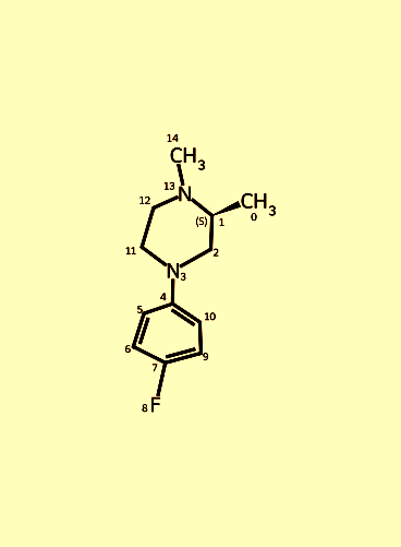 C[C@H]1CN(c2ccc(F)cc2)CCN1C